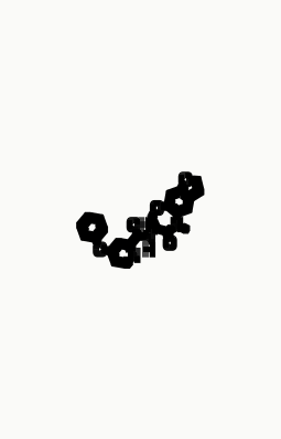 CN1C(=O)[C@@H](NC(O)c2cc(Oc3ccccc3)ccn2)COc2cc3occc3cc21